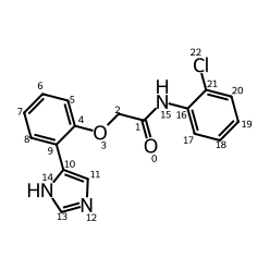 O=C(COc1ccccc1-c1cnc[nH]1)Nc1ccccc1Cl